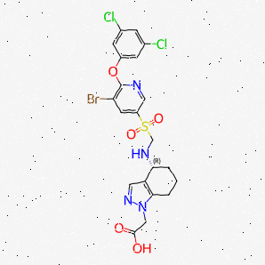 O=C(O)Cn1ncc2c1CCC[C@H]2NCS(=O)(=O)c1cnc(Oc2cc(Cl)cc(Cl)c2)c(Br)c1